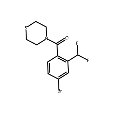 O=C(c1ccc(Br)cc1C(F)F)N1CCSCC1